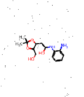 CC1(C)OC(CO)C(CC(O)Nc2ccccc2N)O1